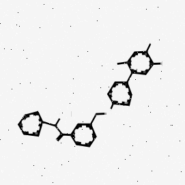 O=C(c1cccc(COc2ccc(-c3cc(F)c(F)cc3S)cc2)c1)C(O)c1ccccc1